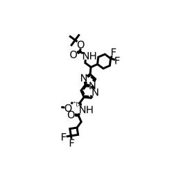 COC[C@@H](NC(=O)CC1CC(F)(F)C1)c1cnn2cc(C(CNC(=O)OC(C)(C)C)C3CCC(F)(F)CC3)nc2c1